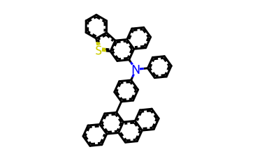 c1ccc(N(c2ccc(-c3cc4ccccc4c4ccc5ccccc5c34)cc2)c2cc3sc4ccccc4c3c3ccccc23)cc1